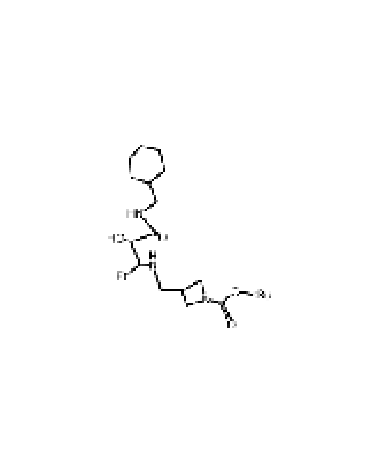 CCC(NCC1CN(C(=O)OC(C)(C)C)C1)C(O)C(=O)NCC1CCCCC1